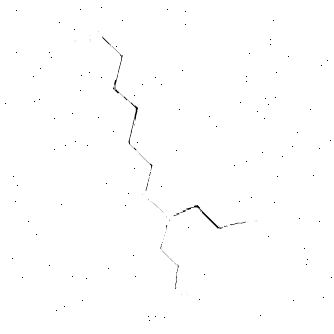 CCCCCCCCCCCCNN(CCO)CCO